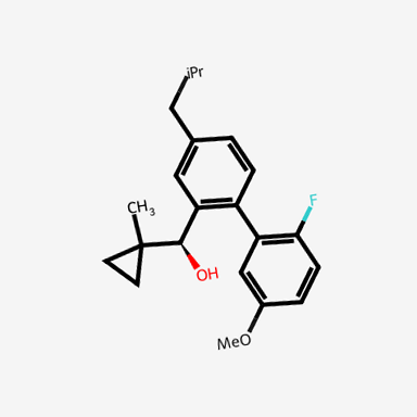 COc1ccc(F)c(-c2ccc(CC(C)C)cc2[C@@H](O)C2(C)CC2)c1